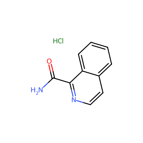 Cl.NC(=O)c1nccc2ccccc12